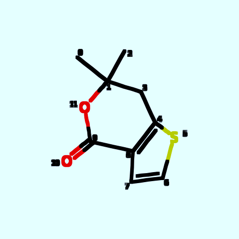 CC1(C)Cc2sccc2C(=O)O1